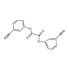 N#Cc1cccc(OC(=O)C(=O)Oc2cccc(C#N)c2)c1